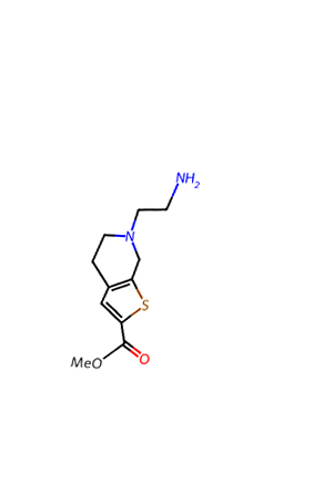 COC(=O)c1cc2c(s1)CN(CCN)CC2